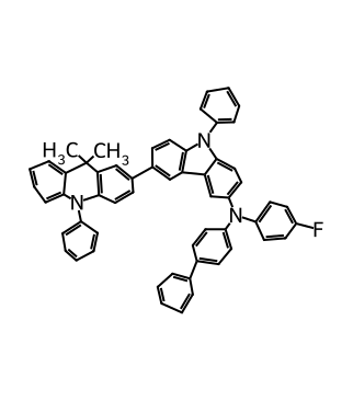 CC1(C)c2ccccc2N(c2ccccc2)c2ccc(-c3ccc4c(c3)c3cc(N(c5ccc(F)cc5)c5ccc(-c6ccccc6)cc5)ccc3n4-c3ccccc3)cc21